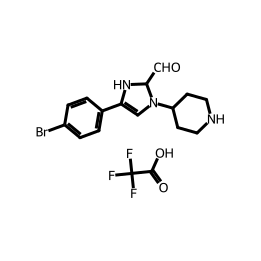 O=C(O)C(F)(F)F.O=CC1NC(c2ccc(Br)cc2)=CN1C1CCNCC1